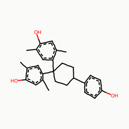 Cc1cc(C2(c3cc(C)c(O)cc3C)CCC(c3ccc(O)cc3)CC2)c(C)cc1O